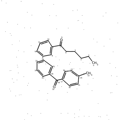 CCCCCC(=O)c1ccccc1.Cc1ccc(C(=O)c2ccccc2)cc1